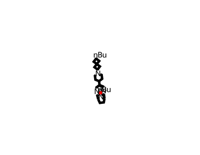 CCCCC1CC2(C1)CC(N1CCC(c3cnc(N4C5CCC4CN(CCCC)C5)nc3)CC1)C2